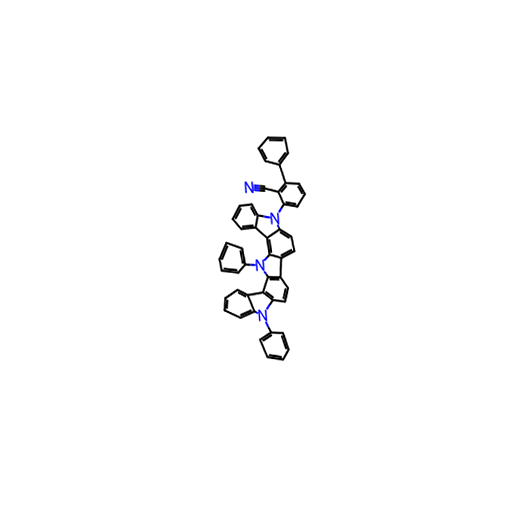 N#Cc1c(-c2ccccc2)cccc1-n1c2ccccc2c2c1ccc1c3ccc4c(c5ccccc5n4-c4ccccc4)c3n(-c3ccccc3)c12